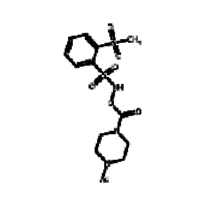 CC(=O)N1CCN(C(=O)ONS(=O)(=O)c2ccccc2S(C)(=O)=O)CC1